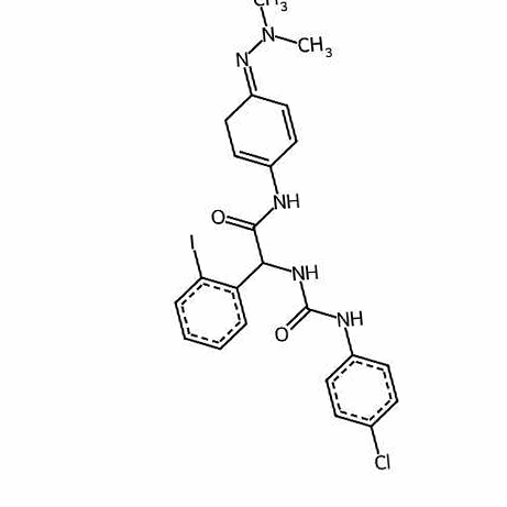 CN(C)N=C1C=CC(NC(=O)C(NC(=O)Nc2ccc(Cl)cc2)c2ccccc2I)=CC1